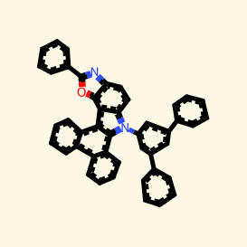 c1ccc(-c2cc(-c3ccccc3)cc(-n3c4ccc5nc(-c6ccccc6)oc5c4c4c5ccccc5c5ccccc5c43)c2)cc1